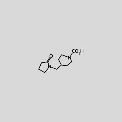 O=C(O)N1CCC(CN2CCCC2=O)CC1